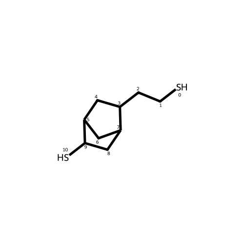 SCCC1CC2CC1CC2S